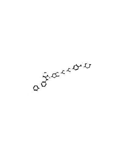 COc1cccc(Oc2ccc(-c3nn(C4CC5CN(C6CN(C7CN(c8ccc(C(=O)NC9CCC(=O)NC9=O)c(F)c8)C7)C6)CC5C4)c4ncnc(N)c34)cc2)c1F